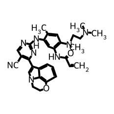 C=CC(=O)Nc1cc(Nc2ncc(C#N)c(-c3cn4c5c(cccc35)OCC4)n2)c(C)cc1N(C)CCN(C)C